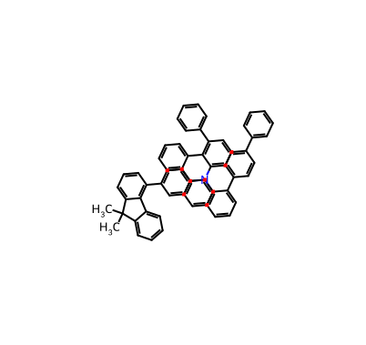 CC1(C)c2ccccc2-c2c(-c3ccc(N(c4ccccc4-c4ccc(-c5ccccc5)cc4)c4cccc(-c5ccccc5)c4-c4ccccc4-c4ccccc4)cc3)cccc21